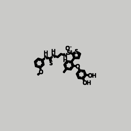 COc1cccc(NC(=S)NCCN[S+]([O-])c2sccc2-c2ccc(C)cc2Oc2ccc(O)c(O)c2)c1